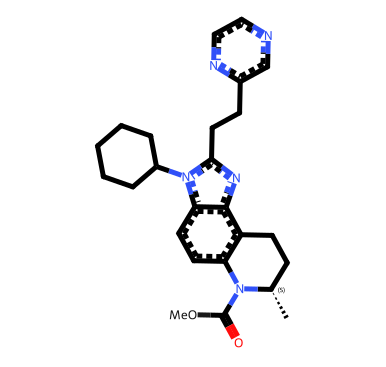 COC(=O)N1c2ccc3c(nc(CCc4cnccn4)n3C3CCCCC3)c2CC[C@@H]1C